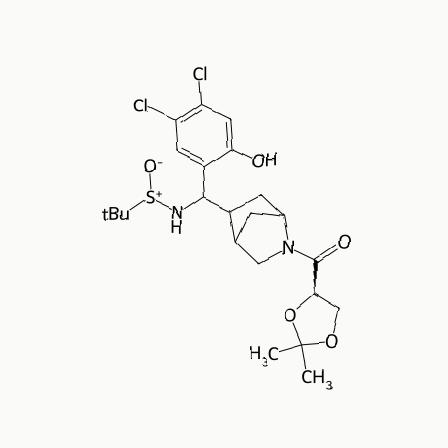 CC1(C)OC[C@H](C(=O)N2CC3CC2CC3C(N[S+]([O-])C(C)(C)C)c2cc(Cl)c(Cl)cc2O)O1